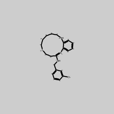 Clc1cccc(CN/C2=N/c3ccccc3NCCCCCSCC2)c1